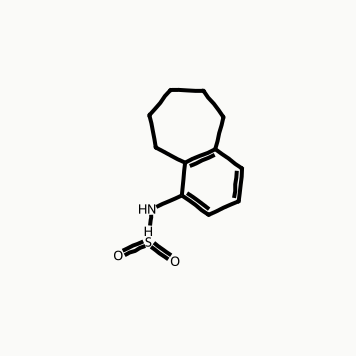 O=[SH](=O)Nc1cccc2c1CCCCC2